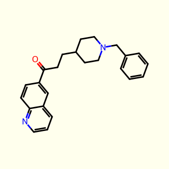 O=C(CCC1CCN(Cc2ccccc2)CC1)c1ccc2ncccc2c1